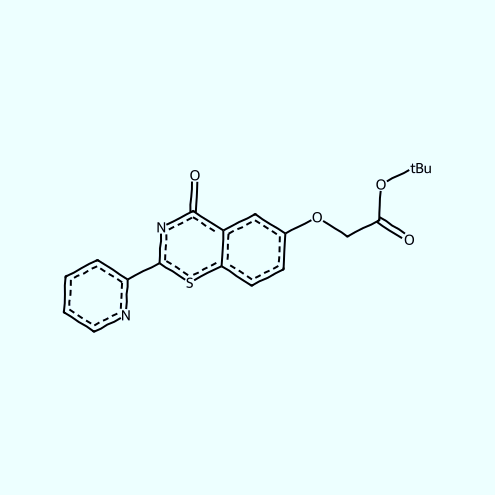 CC(C)(C)OC(=O)COc1ccc2sc(-c3ccccn3)nc(=O)c2c1